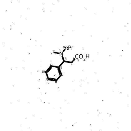 CCCN(C)C(CC(=O)O)c1ccccc1